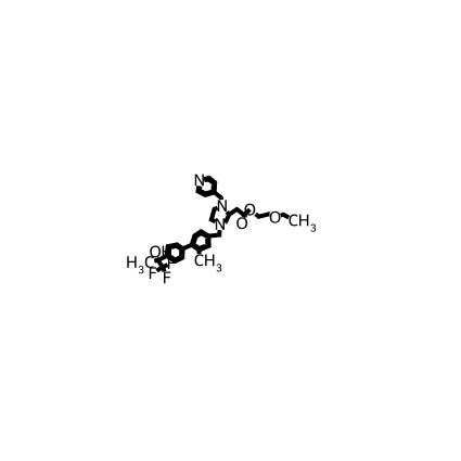 CCOCCOC(=O)CC1CN(Cc2ccc(-c3ccc(C(C)(O)C(F)(F)F)cc3)c(C)c2)CCN1Cc1ccncc1